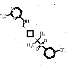 CC(C)([C@H]1C[C@@H](CNc2ccnc(C(F)(F)F)n2)C1)S(=O)(=O)c1cccc(C(F)(F)F)c1